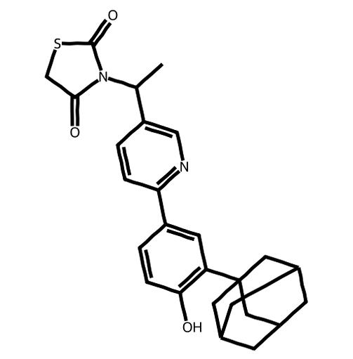 CC(c1ccc(-c2ccc(O)c(C34CC5CC(CC(C5)C3)C4)c2)nc1)N1C(=O)CSC1=O